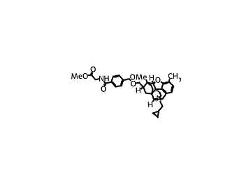 COC(=O)CNC(=O)c1ccc(COC[C@H]2CC34CCC2(OC)[C@@H]2Oc5c(C)ccc6c5[C@@]23CCN(CC2CC2)[C@@H]4C6)cc1